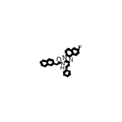 O=C(Cc1ccc2ccccc2c1)Nc1nc2c(nc1/C=C/c1ccccc1)-c1ccc(F)cc1CC2